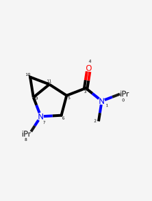 CC(C)N(C)C(=O)C1CN(C(C)C)C2CC12